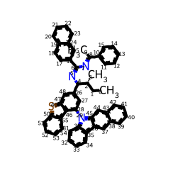 CC[C@@H](C)C(/N=C(\N=C(/C)c1ccccc1)c1ccc2ccccc2c1)c1cc(-n2c3ccccc3c3cc4ccccc4cc32)c2c(c1)sc1ccccc12